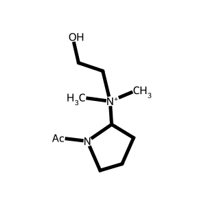 CC(=O)N1CCCC1[N+](C)(C)CCO